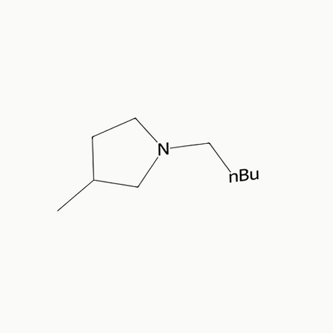 CCCCCN1CCC(C)C1